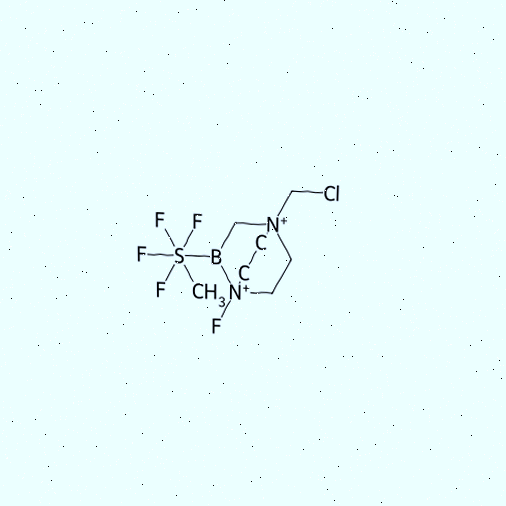 CS(F)(F)(F)(F)B1C[N+]2(CCl)CC[N+]1(F)CC2